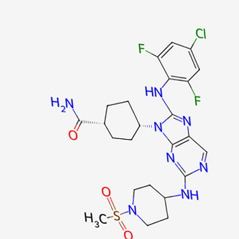 CS(=O)(=O)N1CCC(Nc2ncc3nc(Nc4c(F)cc(Cl)cc4F)n([C@H]4CC[C@@H](C(N)=O)CC4)c3n2)CC1